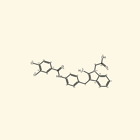 Cc1c(Cc2ccc(NC(=O)c3ccc(Cl)c(Cl)c3)cc2)c2ccccc2n1CC(=O)O